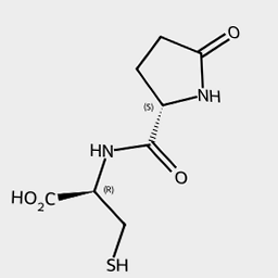 O=C1CC[C@@H](C(=O)N[C@@H](CS)C(=O)O)N1